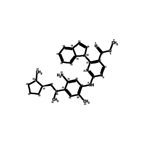 COC(=O)c1cnc(Nc2cc(N)c(N(C)C[C@H]3CCCN3C)cc2C)nc1-n1ccc2ccccc21